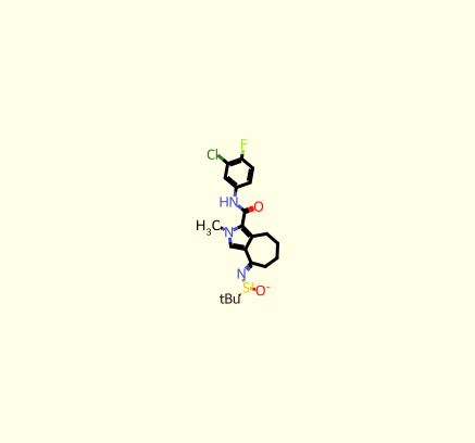 Cn1cc2c(c1C(=O)Nc1ccc(F)c(Cl)c1)CCCCC2=N[S@+]([O-])C(C)(C)C